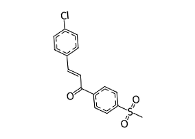 CS(=O)(=O)c1ccc(C(=O)C=Cc2ccc(Cl)cc2)cc1